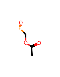 CC(=O)OCP=O